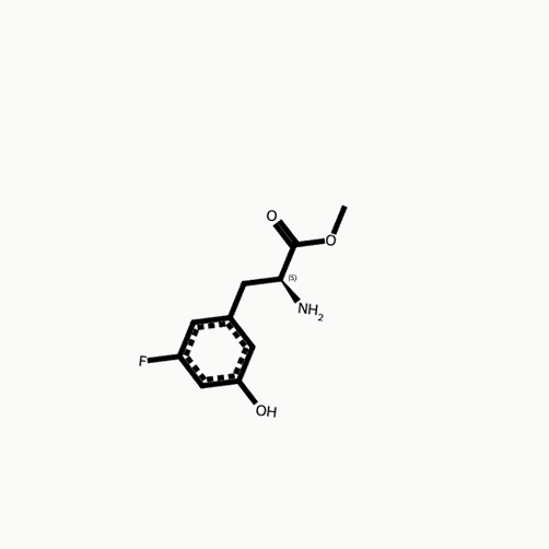 COC(=O)[C@@H](N)Cc1cc(O)cc(F)c1